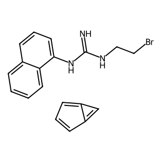 N=C(NCCBr)Nc1cccc2ccccc12.c1cc2cc-2c1